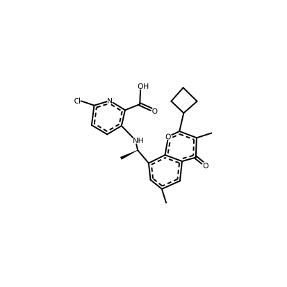 Cc1cc([C@@H](C)Nc2ccc(Cl)nc2C(=O)O)c2oc(C3CCC3)c(C)c(=O)c2c1